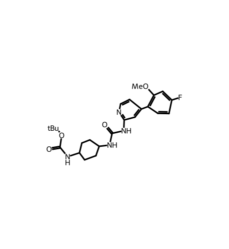 COc1cc(F)ccc1-c1ccnc(NC(=O)NC2CCC(NC(=O)OC(C)(C)C)CC2)c1